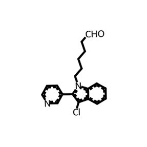 O=CCCCCCn1c(-c2cccnc2)c(Cl)c2ccccc21